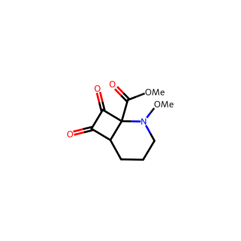 COC(=O)C12C(=O)C(=O)C1CCCN2OC